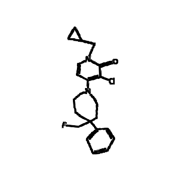 O=c1c(Cl)c(N2CCC(CF)(c3ccccc3)CC2)ccn1CC1CC1